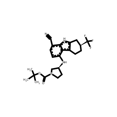 CC(C)(C)OC(=O)N1CC[C@H](Nc2ccc(C#N)c3[nH]c4c(c23)CC[C@H](C(F)(F)F)C4)C1